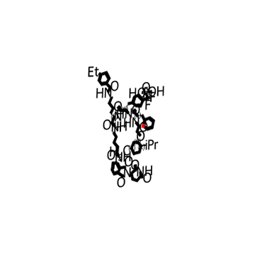 CCc1ccc(C(=O)NCCCC[C@H](NC(=O)[C@H](Cc2ccc(C(F)(F)P(=O)(O)O)cc2)NC(=O)[C@H](Cc2ccccc2)NC(=O)CO[C@H]2C[C@@H](C)CC[C@@H]2C(C)C)C(=O)NCCCCC(=O)Nc2cccc3c2C(=O)N(C2CCC(=O)NC2=O)C3=O)cc1